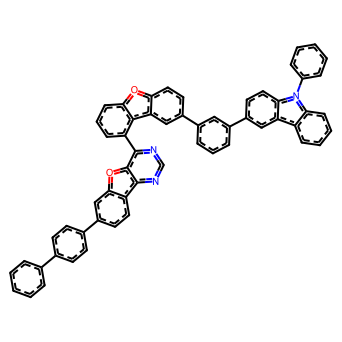 c1ccc(-c2ccc(-c3ccc4c(c3)oc3c(-c5cccc6oc7ccc(-c8cccc(-c9ccc%10c(c9)c9ccccc9n%10-c9ccccc9)c8)cc7c56)ncnc34)cc2)cc1